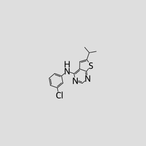 CC(C)c1cc2c(Nc3cccc(Cl)c3)ncnc2s1